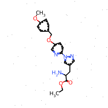 CCOC(=O)C(N)Cc1cnn(-c2ccc(OCc3ccc(OC)cc3)cn2)c1